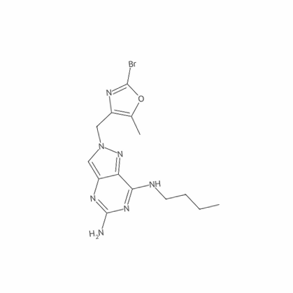 CCCCNc1nc(N)nc2cn(Cc3nc(Br)oc3C)nc12